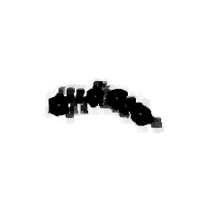 Cc1cc(NC(=O)NC(=O)c2c(F)cccc2Cl)cc(C)c1Oc1ccc(S(=O)(=O)c2ccc(Cl)cc2)cc1